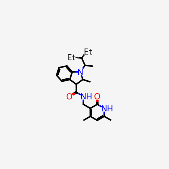 CCC(CC)C(C)N1c2ccccc2C(C(=O)NCc2c(C)cc(C)[nH]c2=O)C1C